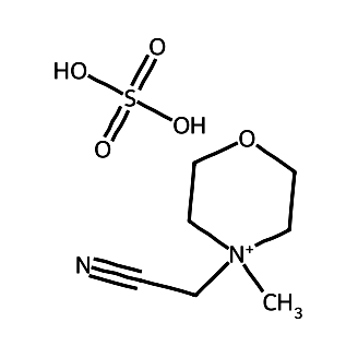 C[N+]1(CC#N)CCOCC1.O=S(=O)(O)O